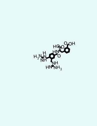 N=C(N)NCc1ccc(C(=O)N[C@H]2Cc3cccc(C(=O)O)c3OB2O)cc1CNC(=N)N